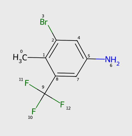 Cc1c(Br)cc(N)cc1C(F)(F)F